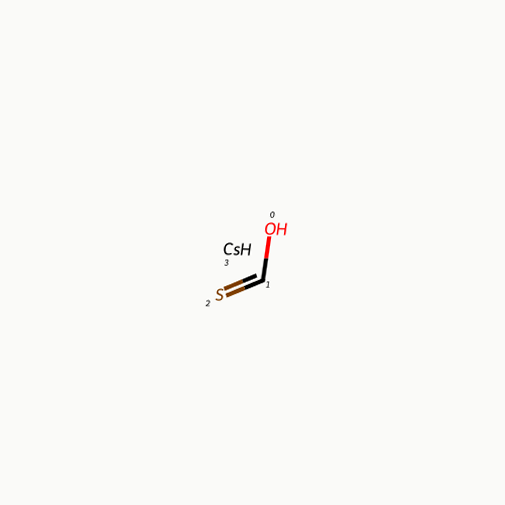 OC=S.[CsH]